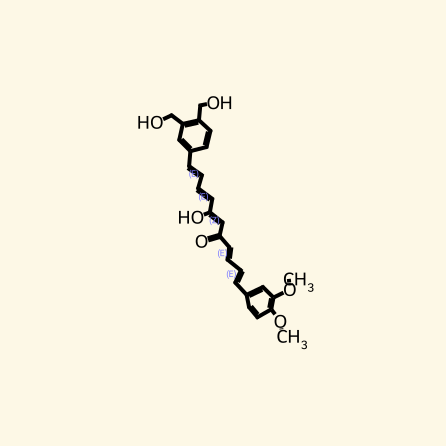 COc1ccc(/C=C/C=C/C(=O)/C=C(O)/C=C/C=C/c2ccc(CO)c(CO)c2)cc1OC